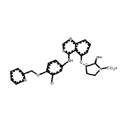 CC(C)(C)C1[C@@H](Oc2cccc3ncnc(Nc4ccc(OCc5ccccn5)c(Cl)c4)c23)CCN1C(=O)O